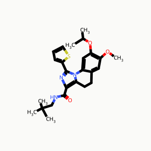 COc1cc2c(cc1OC(C)C)-n1c(-c3cccs3)nc(C(=O)NCC(C)(C)C)c1CC2